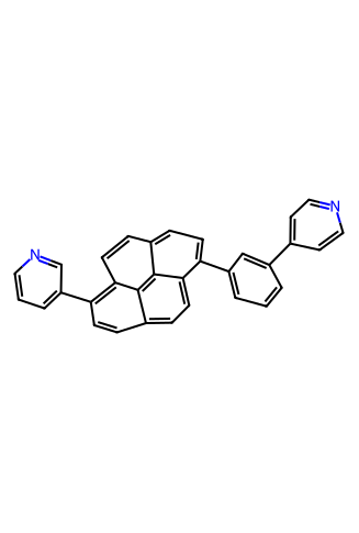 c1cncc(-c2ccc3ccc4c(-c5cccc(-c6ccncc6)c5)ccc5ccc2c3c54)c1